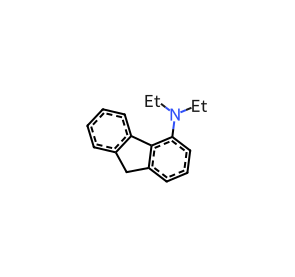 CCN(CC)c1cccc2c1-c1ccccc1C2